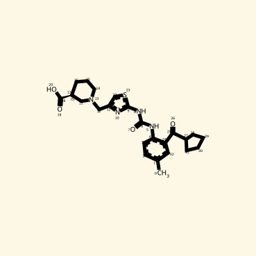 Cc1ccc(NC(=O)Nc2nc(CN3CCC[C@H](C(=O)O)C3)cs2)c(C(=O)C2CCCC2)c1